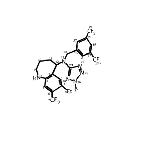 CCc1cc2c(cc1C(F)(F)F)NCCCC2N(Cc1cc(C(F)(F)F)cc(C(F)(F)F)c1)c1nnn(C)n1